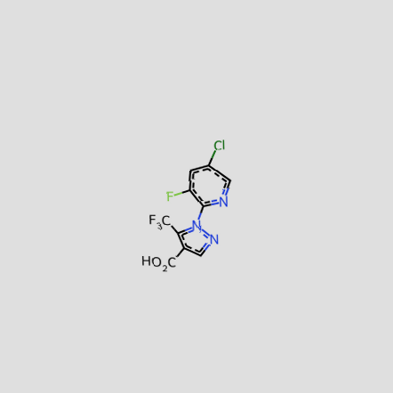 O=C(O)c1cnn(-c2ncc(Cl)cc2F)c1C(F)(F)F